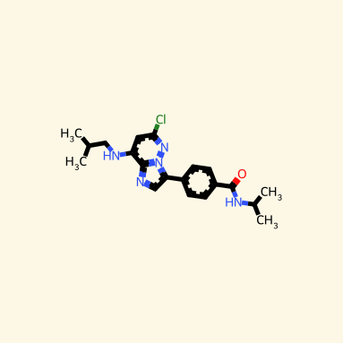 CC(C)CNc1cc(Cl)nn2c(-c3ccc(C(=O)NC(C)C)cc3)cnc12